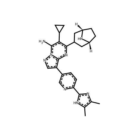 Cc1nc(-c2ccc(-c3cnn4c(N)c(C5CC5)c(C5C[C@H]6CC[C@@H](C5)N6)nc34)cn2)[nH]c1C